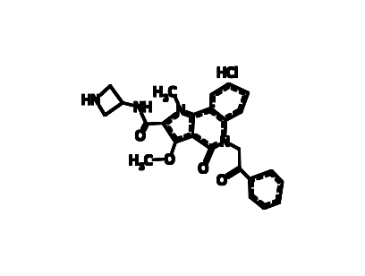 COc1c(C(=O)NC2CNC2)n(C)c2c1c(=O)n(CC(=O)c1ccccc1)c1ccccc21.Cl